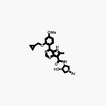 COc1ccc(-c2ncnc3c(C(=O)N[C@@H]4CN(C(C)=O)C[C@H]4O)c(C)[nH]c23)c(OCC2CC2)c1